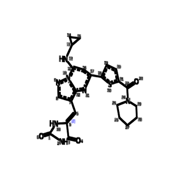 O=C1NC(=O)/C(=C/c2cnn3c(NC4CC4)cc(-c4ccc(C(=O)N5CCCCC5)s4)nc23)N1